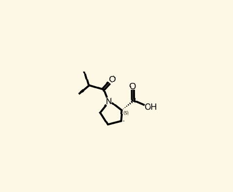 CC(C)C(=O)N1CC[CH][C@H]1C(=O)O